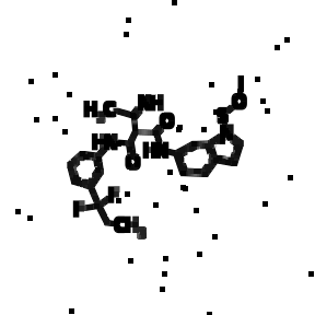 CCC(F)(F)c1cccc(NC(=O)C(C(C)=N)C(=O)Nc2ccc3ccn(SOI)c3c2)c1